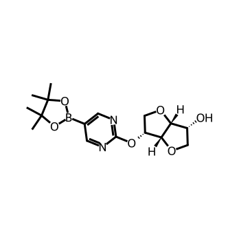 CC1(C)OB(c2cnc(O[C@@H]3CO[C@H]4[C@@H]3OC[C@H]4O)nc2)OC1(C)C